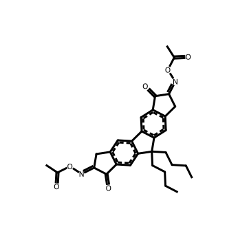 CCCCC1(CCCC)c2cc3c(cc2-c2cc4c(cc21)C(=O)/C(=N/OC(C)=O)C4)C(=O)/C(=N\OC(C)=O)C3